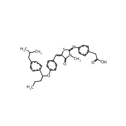 CCCC(Oc1ccc(C=C2SC(=Nc3ccc(CC(=O)O)cc3)N(C)C2=O)cc1)c1ccc(CC(C)C)cc1